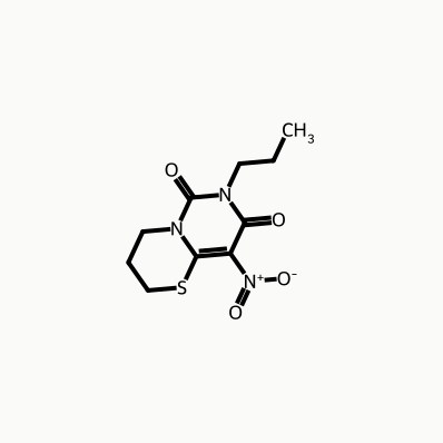 CCCn1c(=O)c([N+](=O)[O-])c2n(c1=O)CCCS2